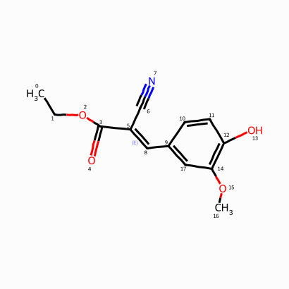 CCOC(=O)/C(C#N)=C/c1ccc(O)c(OC)c1